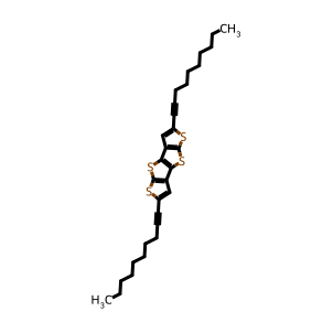 CCCCCCCCC#Cc1cc2c(s1)sc1c3cc(C#CCCCCCCCC)sc3sc21